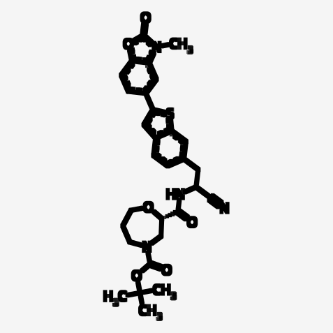 Cn1c(=O)oc2ccc(-c3cc4ccc(CC(C#N)NC(=O)[C@@H]5CN(C(=O)OC(C)(C)C)CCCO5)cc4s3)cc21